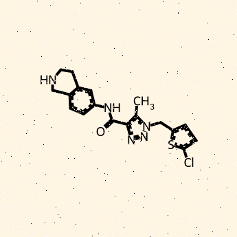 Cc1c(C(=O)Nc2ccc3c(c2)CCNC3)nnn1Cc1ccc(Cl)s1